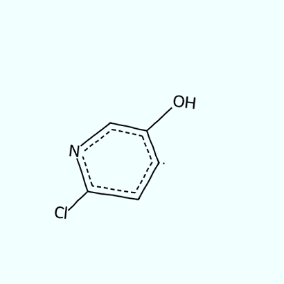 Oc1[c]cc(Cl)nc1